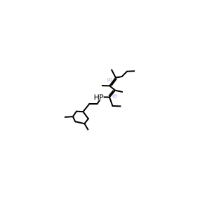 CCC/C(C)=C(C)\C(C)=C(\CC)PCCC1CC(C)CC(C)C1